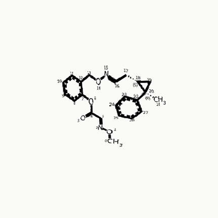 CON=CC(=O)Oc1ccccc1CON=CC[C@@H]1C[C@@]1(C)c1ccccc1